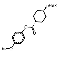 CCCCCC[C@H]1CC[C@H](C(=O)Oc2ccc(OCC)cc2)CC1